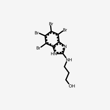 OCCCNc1nc2c(Br)c(Br)c(Br)c(Br)c2[nH]1